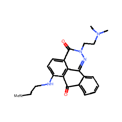 CNCCNc1ccc2c(=O)n(CCN(C)C)nc3c2c1C(=O)c1ccccc1-3